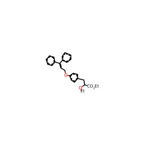 CCOC(=O)C(Cc1ccc(OCC=C(c2ccccc2)c2ccccc2)cc1)OCC